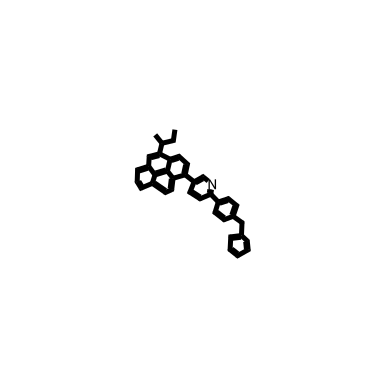 CCC(C)c1cc2cccc3ccc4c(-c5ccc(-c6ccc(Cc7ccccc7)cc6)nc5)ccc1c4c32